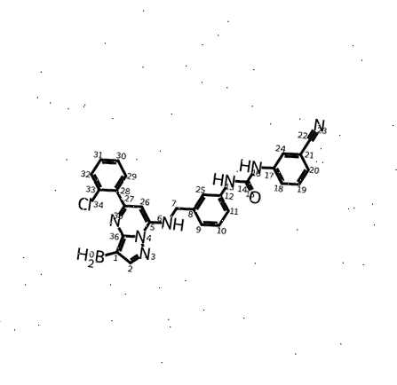 Bc1cnn2c(NCc3cccc(NC(=O)Nc4cccc(C#N)c4)c3)cc(-c3ccccc3Cl)nc12